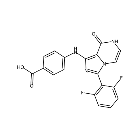 O=C(O)c1ccc(Nc2nc(-c3c(F)cccc3F)n3cc[nH]c(=O)c23)cc1